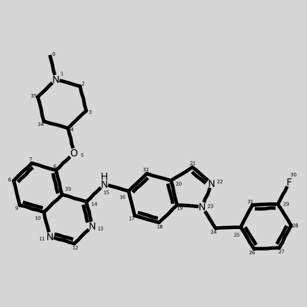 CN1CCC(Oc2cccc3ncnc(Nc4ccc5c(cnn5Cc5cccc(F)c5)c4)c23)CC1